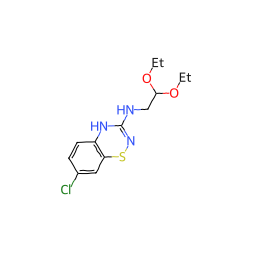 CCOC(CNC1=NSc2cc(Cl)ccc2N1)OCC